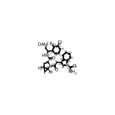 COCC(NC(=O)[C@@H]1C[C@H]2C[C@H]2N1C(=O)Cc1cn(C(N)=O)c2ccccc12)c1cccc(Cl)c1F